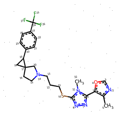 Cc1ncoc1-c1nnc(SCCCN2CCC3(CC3c3ccc(C(F)(F)F)cc3)C2)n1C